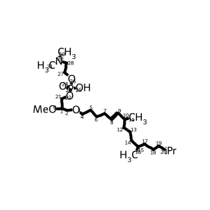 COC(COCCCCC=CC(C)CCCC(C)CCCC(C)C)COP(=O)(O)OCCN(C)C